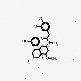 COC1C[C@H](N(C)C(=O)Cc2ccc(Cl)c(Cl)c2)C[C@]2(c3cccc(O)c3)CCN(C)C[C@@H]12